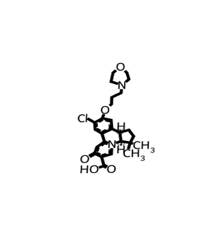 CC1(C)CC[C@@H]2c3cc(OCCCN4CCOCC4)c(Cl)cc3-c3cc(=O)c(C(=O)O)cn3[C@@H]21